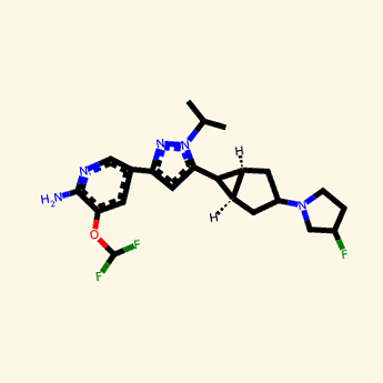 CC(C)n1nc(-c2cnc(N)c(OC(F)F)c2)cc1C1[C@H]2CC(N3CCC(F)C3)C[C@@H]12